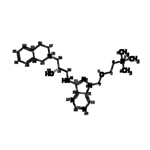 C[Si](C)(C)CCOCn1nc(NC[C@H](O)CN2CCc3ccccc3C2)c2ncncc21